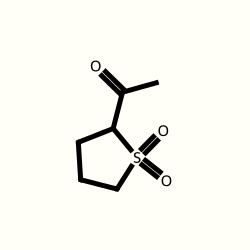 CC(=O)C1CCCS1(=O)=O